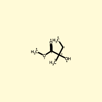 CCC(C)(O)C(=O)OC